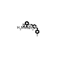 Nc1nc(N)c2c(OCC3CCN(Cc4ccc(I)cc4)CC3)cccc2n1